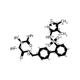 CCCC(=O)N(C(C)C)[C@H](C(=O)NCc1ccc(-c2ccccc2S(=O)(=O)Nc2noc(C)c2C)cc1)C(C)C